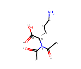 CC(=O)N(C(C)=O)[C@@H](CCCN)C(=O)O